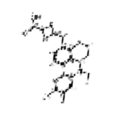 CCN(c1ccc(Cl)c(C)c1)C1CCCc2c(CN3CC(C(=O)O)C3)cccc21